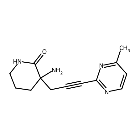 Cc1ccnc(C#CCC2(N)CCCNC2=O)n1